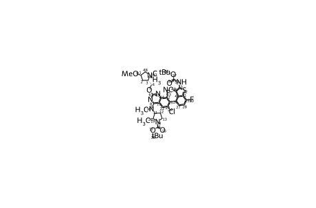 CO[C@@H]1C[C@@H](COc2nc(N(C)[C@@H]3CCN(C(=O)OC(C)(C)C)[C@@H]3C)c3cc(Cl)c(-c4ccc(F)c5sc(NC(=O)OC(C)(C)C)c(C#N)c45)c(F)c3n2)N(C)C1